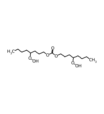 CCCCC(CCCOC(=O)OCCCC(CCCC)OO)OO